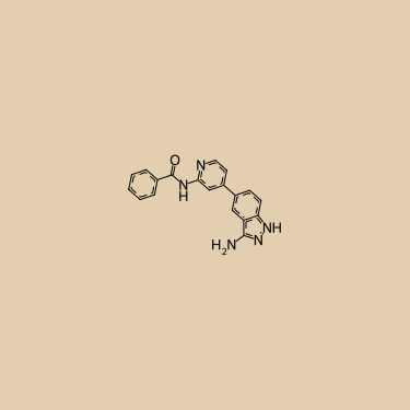 Nc1n[nH]c2ccc(-c3ccnc(NC(=O)c4ccccc4)c3)cc12